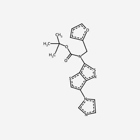 CC(C)(C)OC(=O)N(Cc1ccco1)c1snc2c(-n3ccnc3)csc12